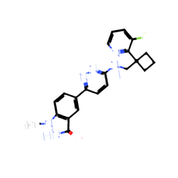 CC(C)n1[nH]c(=O)c2cc(-c3ccc(NCC4(c5ncccc5F)CCC4)nn3)ccc21